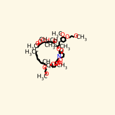 COCCCO[C@@H]1CC[C@@H](C[C@@H](C)[C@@H]2CC(=O)[C@H](C)/C=C(\C)[C@@H](O)[C@@H](OC)C(=O)[C@H](C)C[C@H](C)/C=C/C=C/C=C(\C)C(OCCOC)C[C@@H]3CC[C@@H](C)[C@@](O)(O3)C(=O)C(=O)N3CCCC[C@H]3C(=O)O2)C[C@H]1OC